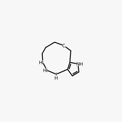 c1cc2c([nH]1)CCCCC[IH][IH][IH]2